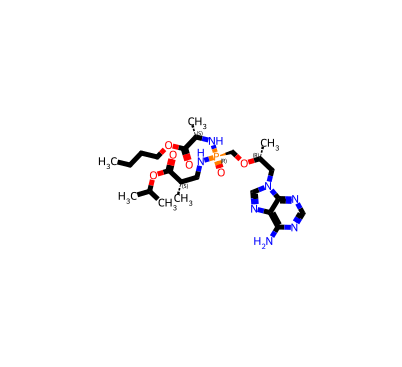 CCCCOC(=O)[C@H](C)N[P@@](=O)(CO[C@H](C)Cn1cnc2c(N)ncnc21)NC[C@H](C)C(=O)OC(C)C